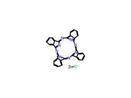 [Cl][Zn].c1ccc2c(c1)-c1nc-2nc2[nH]c(nc3nc(nc4[nH]c(n1)c1ccccc41)-c1ccccc1-3)c1ccccc21